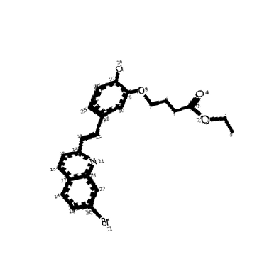 CCOC(=O)CCCOc1cc(C=Cc2ccc3ccc(Br)cc3n2)ccc1Cl